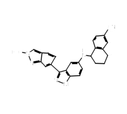 Cn1cc2ccc(-c3n[nH]c4ccc(NC5CCCc6cc(C#N)ccc65)cc34)cc2n1